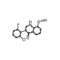 CCCOc1cccc2c(=O)c(-c3c(F)cccc3Cl)c[nH]c12